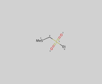 CCS(=O)(=O)CSC